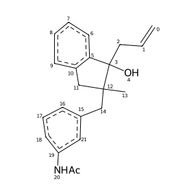 C=CCC1(O)c2ccccc2CC1(C)Cc1cccc(NC(C)=O)c1